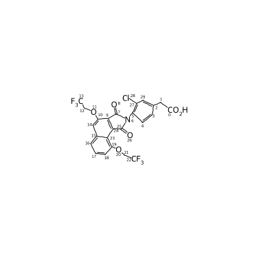 O=C(O)Cc1ccc(N2C(=O)c3c(OCC(F)(F)F)cc4cccc(OCC(F)(F)F)c4c3C2=O)c(Cl)c1